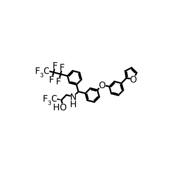 O[C@H](CNC(c1cccc(Oc2cccc(-c3ccco3)c2)c1)c1cccc(C(F)(F)C(F)(F)C(F)(F)F)c1)C(F)(F)F